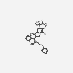 CC[C@@]1(O)C(=O)OCc2c1cc1n(c2=O)Cc2c-1nc1cccc3c1c2N(CCCc1ccccc1)C=N3